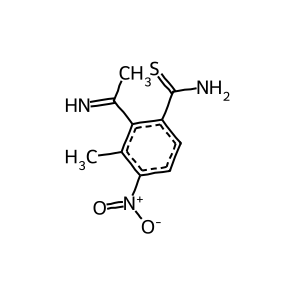 CC(=N)c1c(C(N)=S)ccc([N+](=O)[O-])c1C